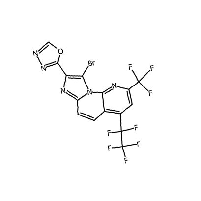 FC(F)(F)c1cc(C(F)(F)C(F)(F)F)c2ccc3nc(-c4nnco4)c(Br)n3c2n1